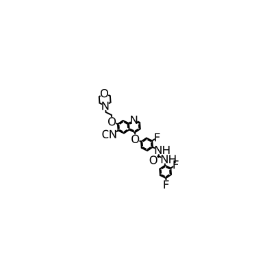 [C-]#[N+]c1cc2c(Oc3ccc(NC(=O)Nc4ccc(F)cc4F)c(F)c3)ccnc2cc1OCCN1CCOCC1